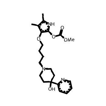 COC(=O)Oc1[nH]c(C)c(C)c1OCCCCN1CCC(O)(c2ccccn2)CC1